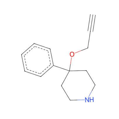 C#CCOC1(c2ccccc2)CCNCC1